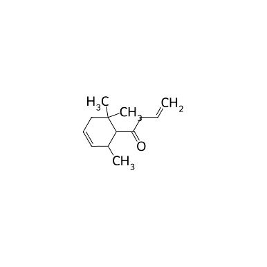 C=CCC(=O)C1C(C)C=CCC1(C)C